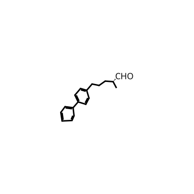 C[C@@H](C=O)CCCc1ccc(-c2ccccc2)cc1